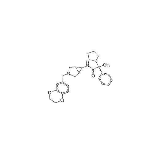 O=C(NC1C2CN(Cc3ccc4c(c3)OCCO4)CC21)C(O)(c1ccccc1)C1CCCC1